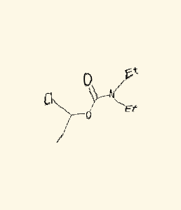 CCN(CC)C(=O)OC(C)Cl